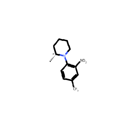 C[C@@H]1CCCCN1c1ccc(C(F)(F)F)cc1[N+](=O)[O-]